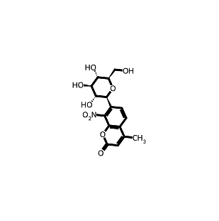 Cc1cc(=O)oc2c([N+](=O)[O-])c([C@@H]3O[C@H](CO)[C@@H](O)[C@H](O)[C@H]3O)ccc12